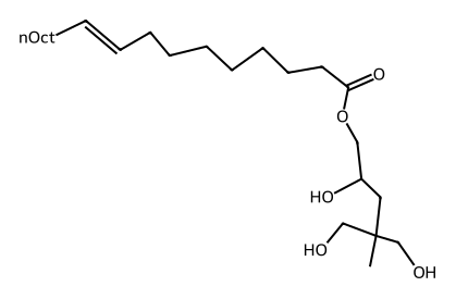 CCCCCCCCC=CCCCCCCCC(=O)OCC(O)CC(C)(CO)CO